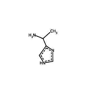 C[C](N)c1c[nH]cn1